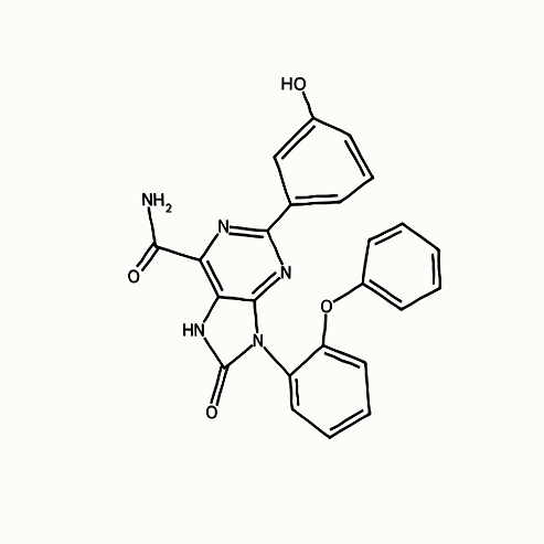 NC(=O)c1nc(-c2cccc(O)c2)nc2c1[nH]c(=O)n2-c1ccccc1Oc1ccccc1